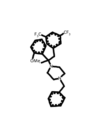 [CH2]C(Cc1cc(C(F)(F)F)cc(C(F)(F)F)c1)(c1ccccc1OC)N1CCN(Cc2ccccc2)CC1